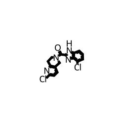 O=C(c1nc2c(Cl)cccc2[nH]1)N1CCc2nc(Cl)ccc2C1